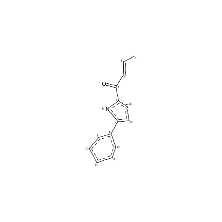 C/C=C/C(=O)c1nc(-c2ccccc2)cs1